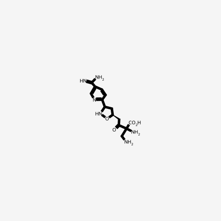 N=C(N)c1ccc(C2C[C@@H](CC(=O)C(N)(CN)C(=O)O)ON2)nc1